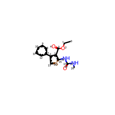 CCOC(=O)c1c(-c2ccccc2)csc1NC(=O)NC